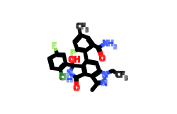 Cc1nn(CC(F)(F)F)c2cc(-c3c(F)cc(C(F)(F)F)cc3C(N)=O)c3c(c12)C(=O)NC3(O)c1cc(F)ccc1Cl